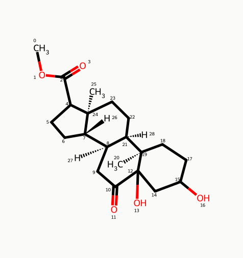 COC(=O)C1CC[C@H]2[C@@H]3CC(=O)C4(O)CC(O)CC[C@]4(C)[C@@H]3CC[C@]12C